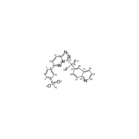 CS(=O)(=O)c1cccc(-c2ccc3nnc(C(F)(F)c4ccc5ncccc5c4)n3n2)c1